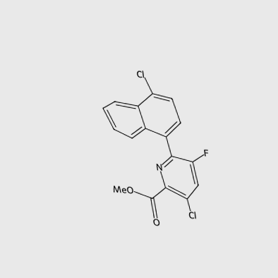 COC(=O)c1nc(-c2ccc(Cl)c3ccccc23)c(F)cc1Cl